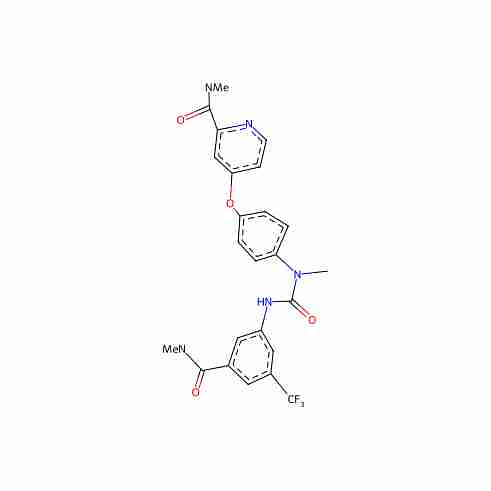 CNC(=O)c1cc(NC(=O)N(C)c2ccc(Oc3ccnc(C(=O)NC)c3)cc2)cc(C(F)(F)F)c1